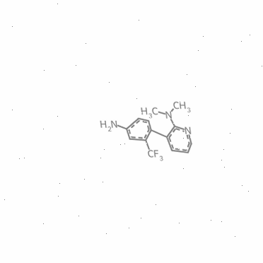 CN(C)c1ncccc1-c1ccc(N)cc1C(F)(F)F